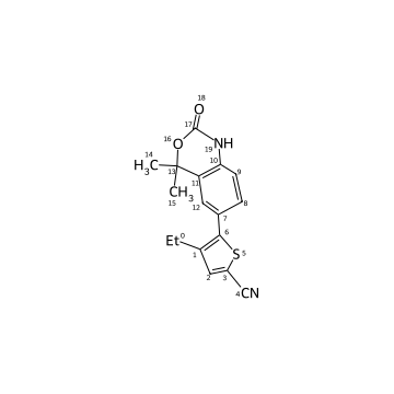 CCc1cc(C#N)sc1-c1ccc2c(c1)C(C)(C)OC(=O)N2